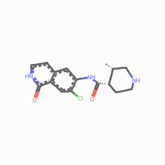 C[C@@H]1CNCC[C@@H]1C(=O)Nc1cc2cc[nH]c(=O)c2cc1Cl